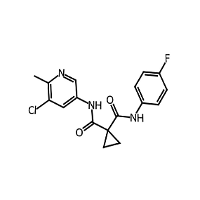 Cc1ncc(NC(=O)C2(C(=O)Nc3ccc(F)cc3)CC2)cc1Cl